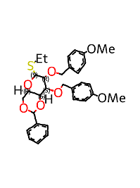 CCS[C@@H]1O[C@@H]2COC(c3ccccc3)O[C@@H]2[C@H](OCc2ccc(OC)cc2)[C@H]1OCc1ccc(OC)cc1